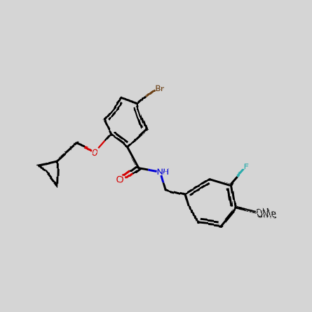 COc1ccc(CNC(=O)c2cc(Br)ccc2OCC2CC2)cc1F